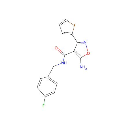 Nc1onc(-c2cccs2)c1C(=O)NCc1ccc(F)cc1